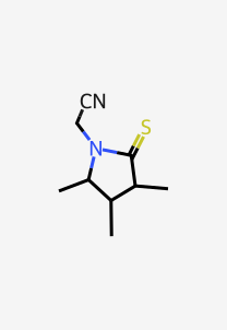 CC1C(=S)N(CC#N)C(C)C1C